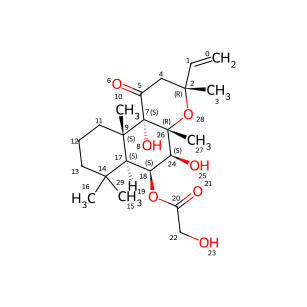 C=C[C@@]1(C)CC(=O)[C@]2(O)[C@@]3(C)CCCC(C)(C)[C@@H]3[C@H](OC(=O)CO)[C@H](O)[C@@]2(C)O1